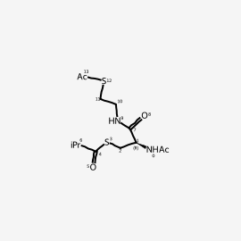 CC(=O)N[C@@H](CSC(=O)C(C)C)C(=O)NCCSC(C)=O